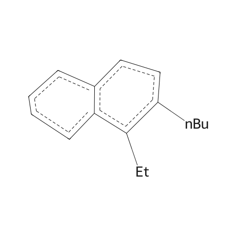 CCCCc1ccc2ccccc2c1CC